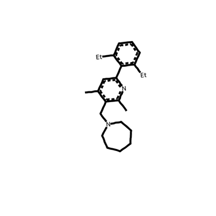 CCc1cccc(CC)c1-c1cc(C)c(CN2CCCCCC2)c(C)n1